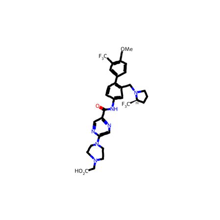 COc1ccc(-c2ccc(NC(=O)c3cnc(N4CCN(CC(=O)O)CC4)cn3)cc2CN2CCC[C@H]2C(F)(F)F)cc1C(F)(F)F